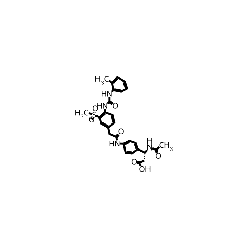 CC(=O)N[C@H](CC(=O)O)c1ccc(NC(=O)Cc2ccc(NC(=O)Nc3ccccc3C)c(S(C)(=O)=O)c2)cc1